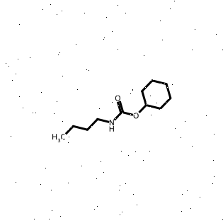 CCCCNC(=O)OC1CCCCC1